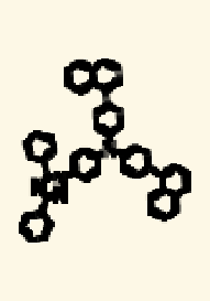 c1ccc(-c2nc(-c3ccccc3)n(-c3ccc(N(c4ccc(-c5cccc6ccccc56)cc4)c4ccc(-c5cccc6ccccc56)cc4)cc3)n2)cc1